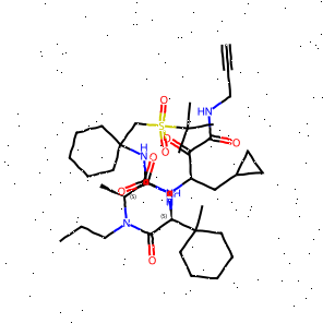 C#CCNC(=O)C(=O)C(CC1CC1)NC(=O)[C@H](C)N(CCC)C(=O)[C@@H](NC(=O)NC1(CS(=O)(=O)C(C)(C)C)CCCCC1)C1(C)CCCCC1